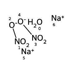 O.O=[N+]([O-])[O-].O=[N+]([O-])[O-].[Na+].[Na+]